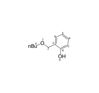 CCCCOCc1ccccc1O